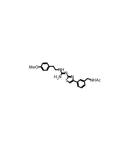 COc1ccc(CCN/C(N)=N/c2nc(-c3cccc(CNC(C)=O)c3)cs2)cc1